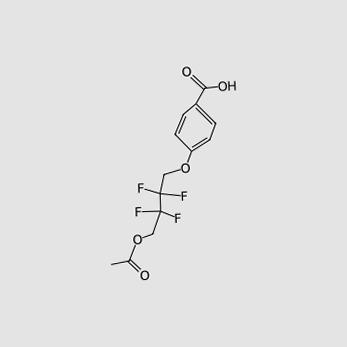 CC(=O)OCC(F)(F)C(F)(F)COc1ccc(C(=O)O)cc1